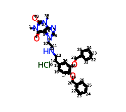 Cl.Cn1c(=O)c2c(ncn2CCNCCc2ccc(OCc3ccccc3)c(OCc3ccccc3)c2)n(C)c1=O